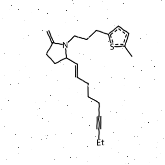 C=C1CCC(/C=C/CCCC#CCC)N1CCCc1ccc(C)s1